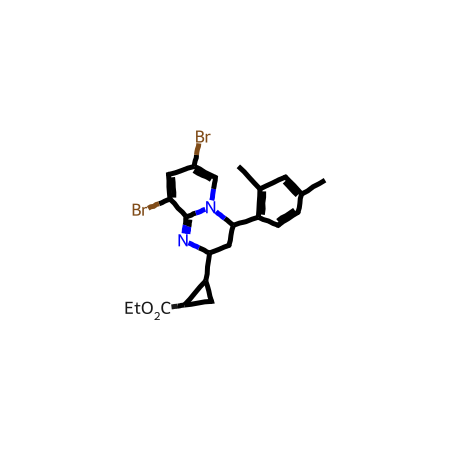 CCOC(=O)C1CC1C1CC(c2ccc(C)cc2C)N2C=C(Br)C=C(Br)C2=N1